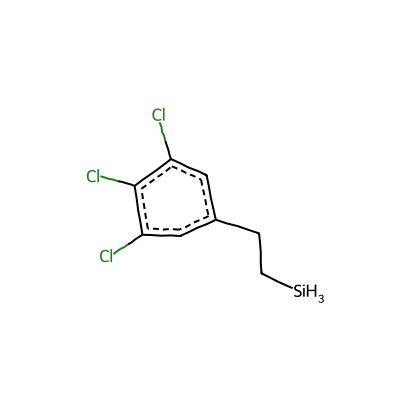 [SiH3]CCc1cc(Cl)c(Cl)c(Cl)c1